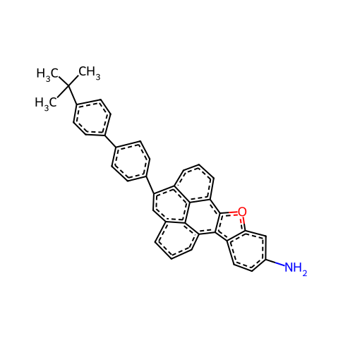 CC(C)(C)c1ccc(-c2ccc(-c3cc4cccc5c6c7ccc(N)cc7oc6c6cccc3c6c45)cc2)cc1